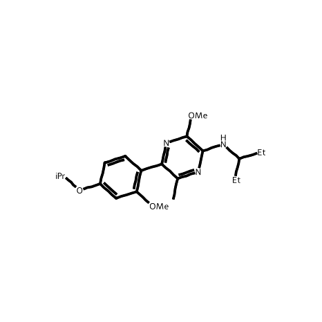 CCC(CC)Nc1nc(C)c(-c2ccc(OC(C)C)cc2OC)nc1OC